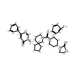 O=C1OCCN1[C@@H]1CCN(C(=O)N2CC[C@@H](Cn3cnc(-c4ccccc4)cc3=O)C3(CCCC3)C2)[C@H](c2cccc(F)c2)C1